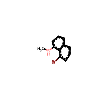 CBc1cccc2cccc(Br)c12